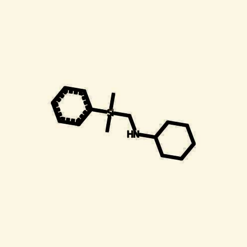 C[Si](C)(CNC1CCCCC1)c1ccccc1